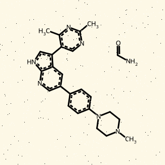 Cc1ncc(-c2c[nH]c3ncc(-c4ccc(N5CCN(C)CC5)cc4)cc23)c(C)n1.NC=O